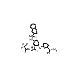 N=C(N)c1cccc(Oc2ccc(NS(=O)(=O)c3ccc4ccccc4c3)cc2C(=O)O)c1.O=C(O)C(F)(F)F